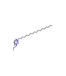 CCCCCCCCCCCCCCCCCCn1cc[n+](CCC)c1